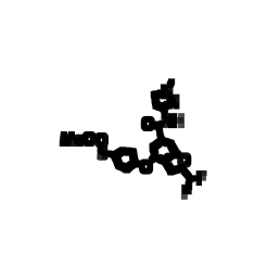 COOSc1ccc(Oc2cc(C(=O)Nc3ccn(C)n3)cc3oc(C(F)F)cc23)cc1